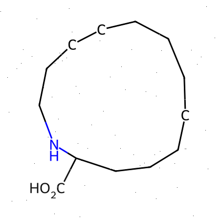 O=C(O)C1CCCCCCCCCCCN1